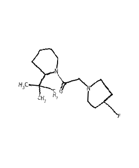 CC(C)(C)C1CCCCN1C(=O)CN1CCC(F)CC1